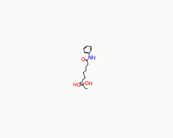 CC[Si](O)(O)CCCCCCC(=O)Nc1ccccc1